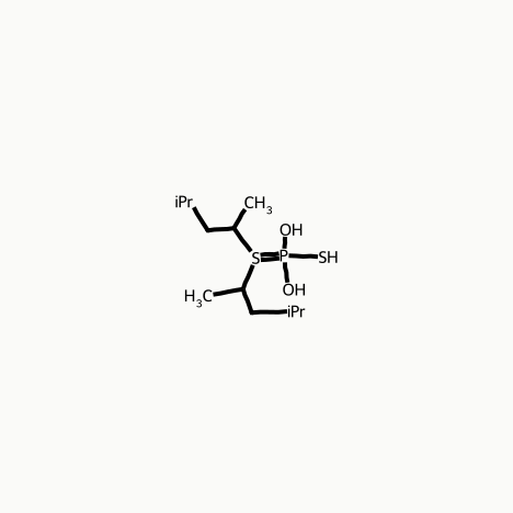 CC(C)CC(C)S(C(C)CC(C)C)=P(O)(O)S